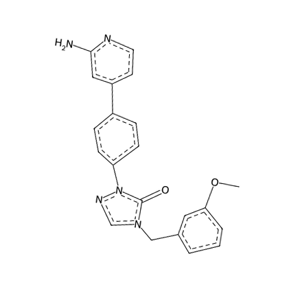 COc1cccc(Cn2cnn(-c3ccc(-c4ccnc(N)c4)cc3)c2=O)c1